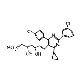 O=C(O)CC(O)CC(O)/C=C/c1c(-c2ccc(Cl)cc2)nc(-c2cccc(Cl)c2)nc1C1CC1